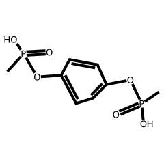 CP(=O)(O)Oc1ccc(OP(C)(=O)O)cc1